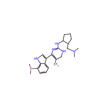 CN(C)CC1CCCC1NC1=NC(c2c[nH]c3c(P(C)C)cccc23)=C(C(F)(F)F)CN1